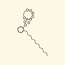 CCCCCCCCCCCCc1ccccc1OOP1(=O)OCCOOOOO1